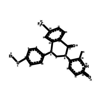 CCOc1ccc(N2CN(c3ccc(=O)[nH]c3C)C(=O)c3ccc(C(F)(F)F)cc32)cc1